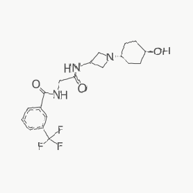 O=C(CNC(=O)c1cccc(C(F)(F)F)c1)NC1CN([C@H]2CC[C@H](O)CC2)C1